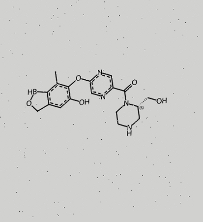 Cc1c2c(cc(O)c1Oc1cnc(C(=O)N3CCNC[C@H]3CO)cn1)COB2